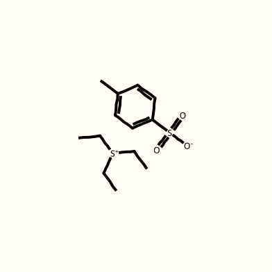 CC[S+](CC)CC.Cc1ccc(S(=O)(=O)[O-])cc1